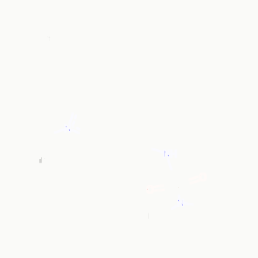 CCCc1ccc2c(CCNS(=O)(=O)N(C)C)cn(CC(C)C)c2c1